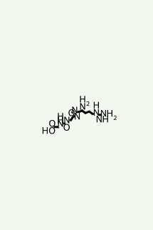 N=C(N)NCCC[C@H](N)c1noc(CNC(=O)NCC(=O)O)n1